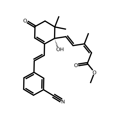 COC(=O)/C=C(C)\C=C\[C@@]1(O)C(/C=C/c2cccc(C#N)c2)=CC(=O)CC1(C)C